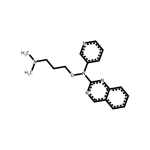 CN(C)CCCON(c1cccnc1)c1ncc2ccccc2n1